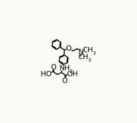 CN(C)CCOC(c1ccccc1)c1ccccc1.NC(CC(=O)O)C(=O)O